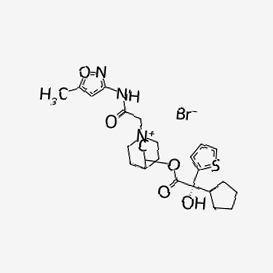 Cc1cc(NC(=O)C[N+]23CCC(CC2)C(OC(=O)[C@@](O)(c2cccs2)C2CCCC2)C3)no1.[Br-]